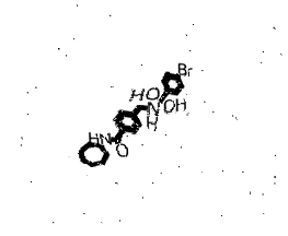 O=C(NC1CCCCCC1)c1ccc(CNC(O)(O)c2ccc(Br)cc2)cc1